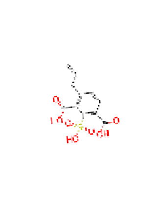 C=CCc1ccc(C(=O)O)c(S(=O)(=O)O)c1C(=O)O